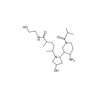 CC(C)C(=O)N1CCC(N)C(C2CC(O)CN2C(C)CCC(C)C(=O)NCCO)C1